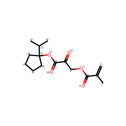 C=C(C)C(=O)OCC(=O)C(=O)OC1(C(C)C)CCCC1